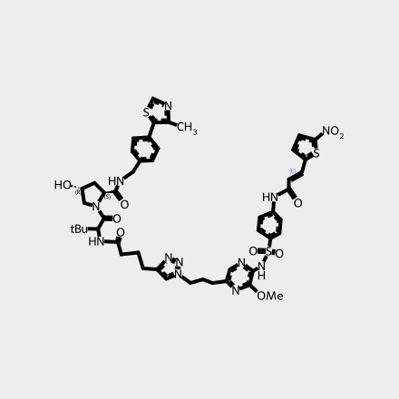 COc1nc(CCCn2cc(CCCC(=O)NC(C(=O)N3C[C@H](O)C[C@H]3C(=O)NCc3ccc(-c4scnc4C)cc3)C(C)(C)C)nn2)cnc1NS(=O)(=O)c1ccc(NC(=O)/C=C/c2ccc([N+](=O)[O-])s2)cc1